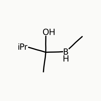 CBC(C)(O)C(C)C